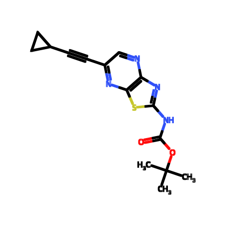 CC(C)(C)OC(=O)Nc1nc2ncc(C#CC3CC3)nc2s1